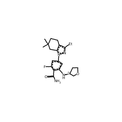 CCc1nn(-c2cc(F)c(C(N)=O)c(N[C@H]3CCOC3)c2)c2c1CCC(C)(C)C2